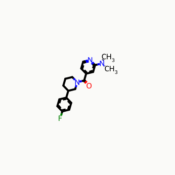 CN(C)c1cc(C(=O)N2CCCC(c3ccc(F)cc3)C2)ccn1